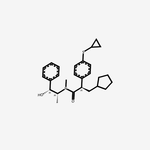 C[C@H]([C@H](O)c1ccccc1)N(C)C(=O)[C@H](CC1CCCC1)c1ccc(SC2CC2)cc1